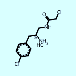 Cl.N[C@H](CNC(=O)CCl)Cc1ccc(Cl)cc1